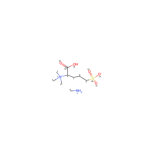 CN.C[N+](C)(C)C(CCCS(=O)(=O)[O-])C(=O)O